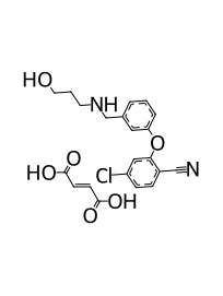 N#Cc1ccc(Cl)cc1Oc1cccc(CNCCCO)c1.O=C(O)C=CC(=O)O